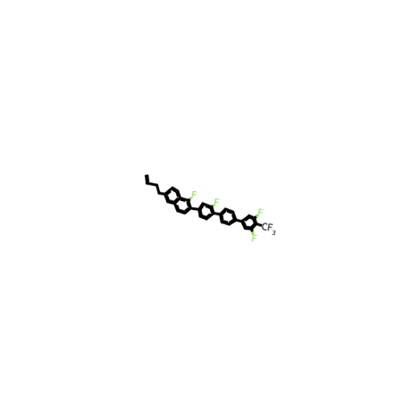 C=CCCc1ccc2c(F)c(-c3ccc(-c4ccc(-c5cc(F)c(C(F)(F)F)c(F)c5)cc4)c(F)c3)ccc2c1